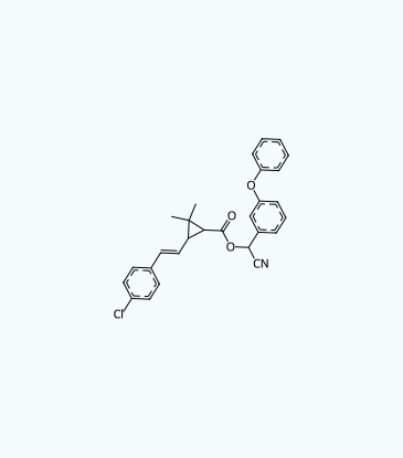 CC1(C)C(/C=C/c2ccc(Cl)cc2)C1C(=O)OC(C#N)c1cccc(Oc2ccccc2)c1